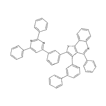 c1ccc(-c2cccc(-c3c(-c4cccc(-c5cc(-c6ccccc6)nc(-c6ccccc6)n5)c4)sc4c3c(-c3ccccc3)nc3ccccc34)c2)cc1